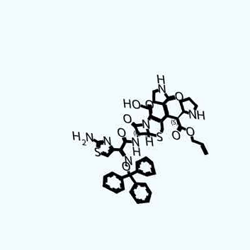 C=CCOC(=O)[C@@H](C(=C1CCNC1=O)C1=C(C(=O)O)N2C(=O)[C@@H](NC(=O)C(=NOC(c3ccccc3)(c3ccccc3)c3ccccc3)c3csc(N)n3)[C@H]2SC1)C1CCCN1